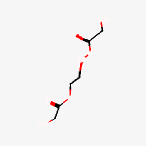 O=C(CO)OCCOOC(=O)CO